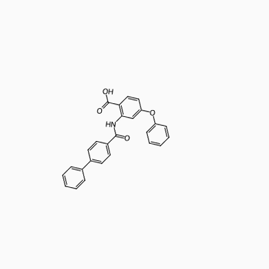 O=C(Nc1cc(Oc2ccccc2)ccc1C(=O)O)c1ccc(-c2ccccc2)cc1